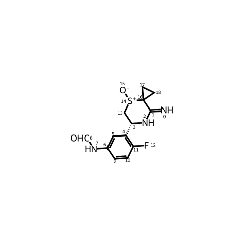 N=C1N[C@H](c2cc(NC=O)ccc2F)C[S+]([O-])C12CC2